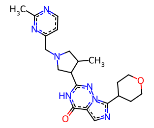 Cc1nccc(CN2CC(C)C(c3nn4c(C5CCOCC5)ncc4c(=O)[nH]3)C2)n1